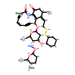 C#C/C=C\C#C[C@H](OC1CC(O)[C@H](NOC2CC[C@H](SC)C(C)O2)C(C)O1)C1=C(NC(=O)OC)C(=O)CC(C)/C1=C/CSSC1CCCCC1